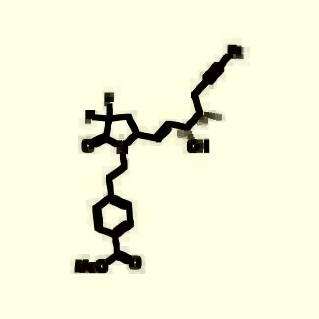 CCC#CC[C@H](C)[C@H](O)C=CC1CC(F)(F)C(=O)N1CCc1ccc(C(=O)OC)cc1